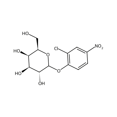 O=[N+]([O-])c1ccc(OC2O[C@H](CO)[C@H](O)[C@H](O)[C@H]2O)c(Cl)c1